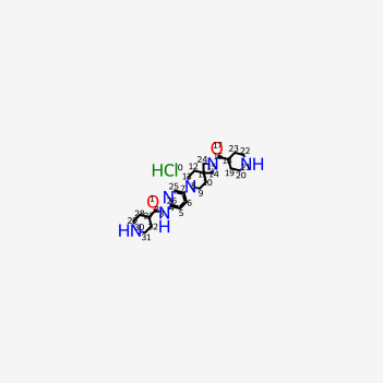 Cl.O=C(Nc1ccc(N2CCC3(CC2)CN(C(=O)C2CCNCC2)C3)cn1)C1CCNCC1